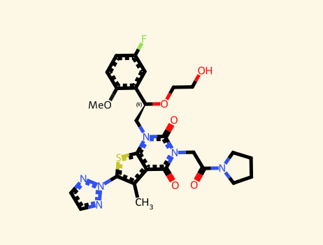 COc1ccc(F)cc1[C@H](Cn1c(=O)n(CC(=O)N2CCCC2)c(=O)c2c(C)c(-n3nccn3)sc21)OCCO